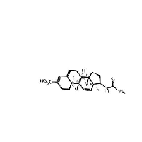 CC(C)(C)C(=O)NC1CC[C@H]2[C@@H]3CC=C4C=C(C(=O)O)CC[C@]4(C)[C@@H]3C=C[C@]12C